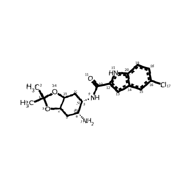 CC1(C)OC2C[C@@H](N)[C@@H](NC(=O)c3cc4cc(Cl)ccc4[nH]3)CC2O1